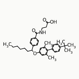 CCCCCCC(Oc1cc(C)c(-c2ccc(C(C)(C)C)cc2)c(C)c1)c1ccc(C(=O)NCCC(=O)O)cc1